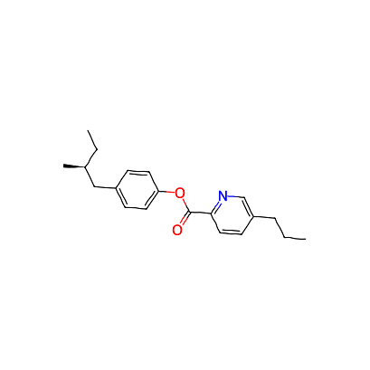 CCCc1ccc(C(=O)Oc2ccc(C[C@@H](C)CC)cc2)nc1